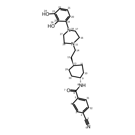 N#Cc1ccc(C(=O)N[C@H]2CC[C@H](CCN3CCN(c4cccc(O)c4O)CC3)CC2)cc1